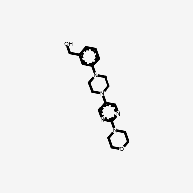 OCc1cccc(N2CCN(c3cnc(N4CCOCC4)nc3)CC2)c1